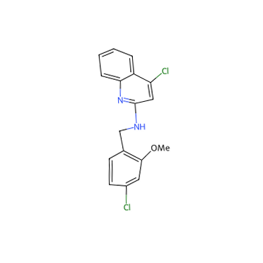 COc1cc(Cl)ccc1CNc1cc(Cl)c2ccccc2n1